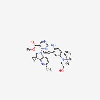 [2H]C([2H])([2H])N(CCO)c1cc(OC)c(Nc2ncc(C(=O)OC(C)C)c(N3CC4(CC4)c4nc(C)ccc43)n2)cc1[N+](=O)[O-]